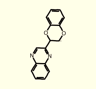 [C]1Oc2ccccc2OC1c1cnc2ccccc2n1